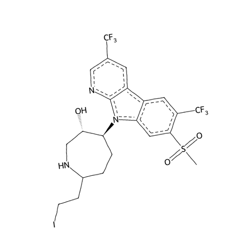 CS(=O)(=O)c1cc2c(cc1C(F)(F)F)c1cc(C(F)(F)F)cnc1n2[C@H]1CCC(CCI)NC[C@@H]1O